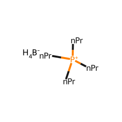 CCC[P+](CCC)(CCC)CCC.[BH4-]